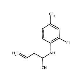 C=CCC(C#N)Nc1ccc(C(F)(F)F)cc1Cl